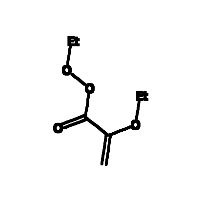 C=C(OCC)C(=O)OOCC